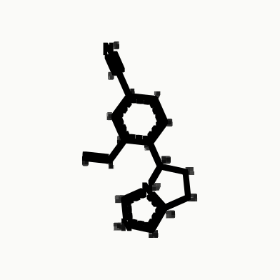 C=Cc1cc(C#N)ccc1C1CCc2cncn21